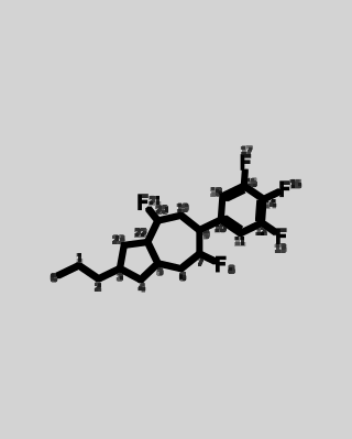 CCCC1CC2CC(F)C(c3cc(F)c(F)c(F)c3)CC(F)C2C1